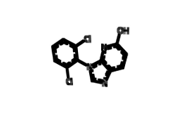 Oc1ccc2ncn(-c3c(Cl)cccc3Cl)c2n1